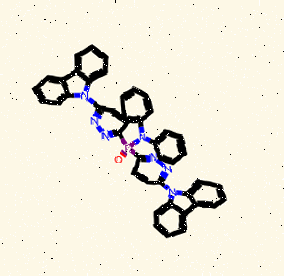 O=P(c1ccc(-n2c3ccccc3c3ccccc32)nn1)(c1ccc(-n2c3ccccc3c3ccccc32)nn1)N(c1ccccc1)c1ccccc1